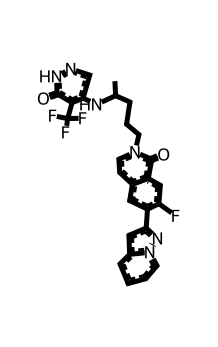 CC(CCCn1ccc2cc(-c3cc4ccccn4n3)c(F)cc2c1=O)Nc1cn[nH]c(=O)c1C(F)(F)F